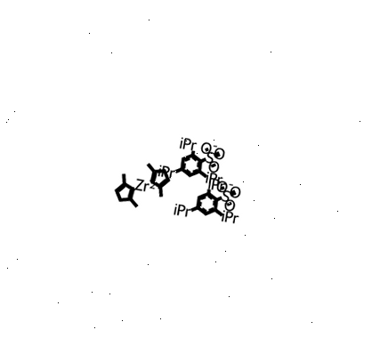 CC(C)c1cc(C(C)C)c(S(=O)(=O)[O-])c(C(C)C)c1.CC(C)c1cc(C(C)C)c(S(=O)(=O)[O-])c(C(C)C)c1.CC1=CCC(C)=[C]1[Zr+2][C]1=C(C)CC=C1C